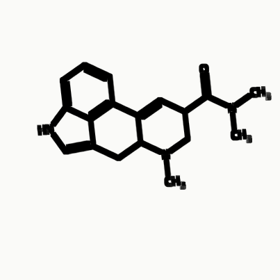 CN(C)C(=O)C1C=C2c3cccc4[nH]cc(c34)CC2N(C)C1